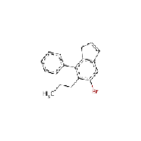 CCCc1c(Br)cc2c(c1-c1ccccc1)CC=C2